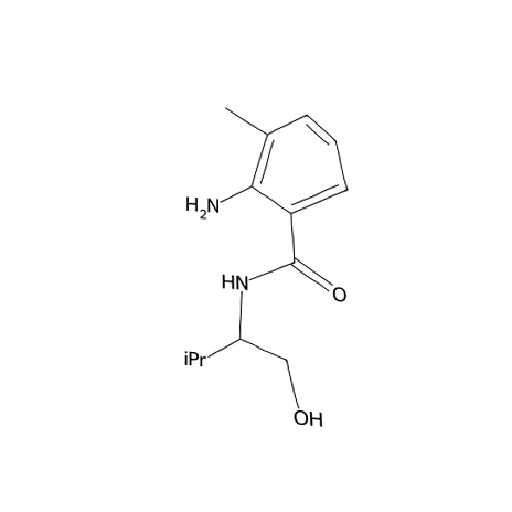 Cc1cccc(C(=O)NC(CO)C(C)C)c1N